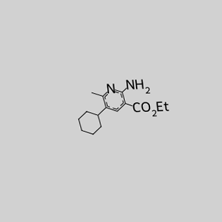 CCOC(=O)c1cc(C2CCCCC2)c(C)nc1N